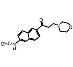 O=CNc1ccc2cc(C(=O)CCN3CCOCC3)ccc2c1